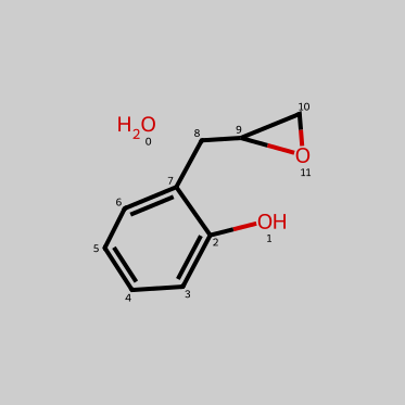 O.Oc1ccccc1CC1CO1